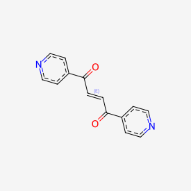 O=C(/C=C/C(=O)c1ccncc1)c1ccncc1